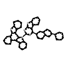 c1ccc(-c2ccc3cc(-c4nc(-n5c6ccccc6c6c7ccccc7c7sc8ccccc8c7c65)nc5oc6ccccc6c45)ccc3c2)cc1